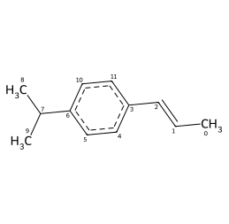 C/C=C/c1ccc(C(C)C)cc1